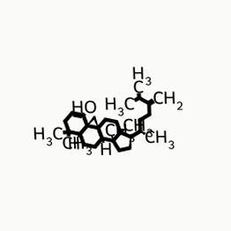 C=C(CC[C@@H](C)[C@H]1CC[C@@]2(C)[C@@H]3CC[C@H]4C(C)(C)CC=C(O)[C@@]45C[C@@]35CC[C@]12C)C(C)C